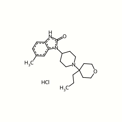 CCCC1(N2CCC(n3c(=O)[nH]c4ccc(C)cc43)CC2)CCOCC1.Cl